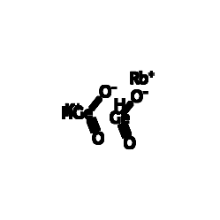 [K+].[O]=[GeH][O-].[O]=[GeH][O-].[Rb+]